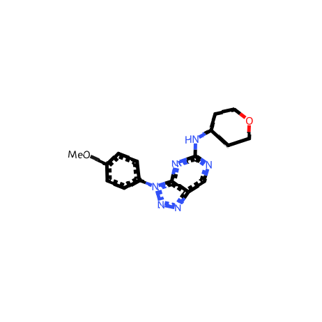 COc1ccc(-n2nnc3cnc(NC4CCOCC4)nc32)cc1